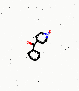 O=C(c1ccccc1)c1cc[n+]([O-])cc1